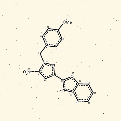 COc1ccc(Cn2nc(-c3nc4ccccc4o3)cc2[N+](=O)[O-])cc1